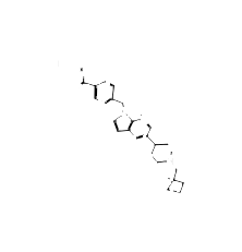 COC(=O)c1ccc(Cn2ccc3cc(C4CCN(CC5(C)CCC5)CC4)cnc32)cc1